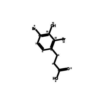 O=C(O)CCc1ccc(Br)c(O)c1Br